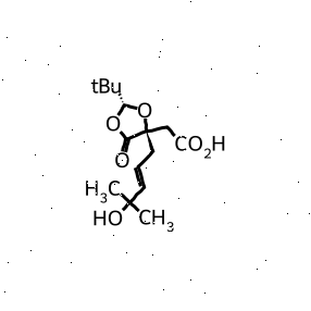 CC(C)(O)/C=C/C[C@]1(CC(=O)O)O[C@@H](C(C)(C)C)OC1=O